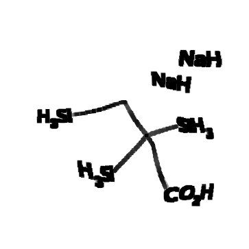 O=C(O)C([SiH3])([SiH3])C[SiH3].[NaH].[NaH]